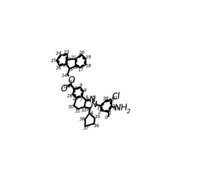 Cc1cc(N2N=C3c4ccc(C(=O)OCC5c6ccccc6-c6ccccc65)cc4CCC3C2C2CCCC2)cc(Cl)c1N